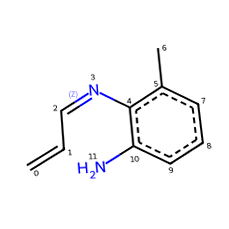 C=C/C=N\c1c(C)cccc1N